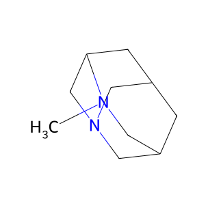 CN1CC2CC3CC1CN(C3)C2